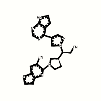 N#CC[C@@H]([C@H]1CCN(c2nc3ccsc3cc2C#N)C1)n1cc(-c2ncnc3[nH]ccc23)cn1